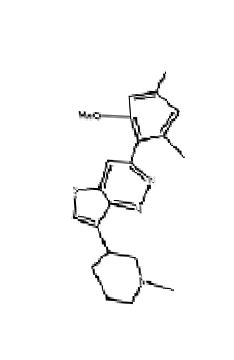 COc1cc(C)cc(C)c1-c1cc2scc(C3CCCN(C)C3)c2nn1